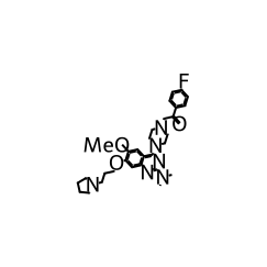 COc1cc2c(N3CCN(CC(=O)c4ccc(F)cc4)CC3)nc(N(C)C)nc2cc1OCCCN1CCCC1